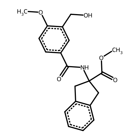 COC(=O)C1(NC(=O)c2ccc(OC)c(CO)c2)Cc2ccccc2C1